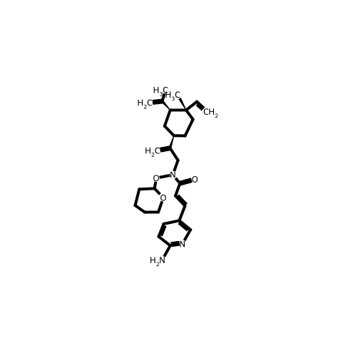 C=C[C@]1(C)CC[C@@H](C(=C)CN(OC2CCCCO2)C(=O)/C=C/c2ccc(N)nc2)C[C@H]1C(=C)C